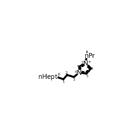 CCCCCCCCCCn1cc[n+](CCC)c1